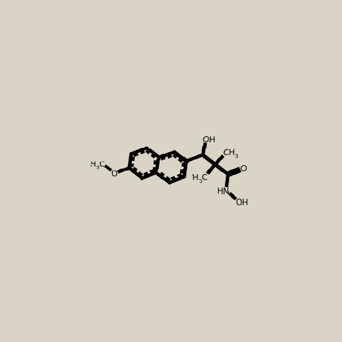 COc1ccc2cc(C(O)C(C)(C)C(=O)NO)ccc2c1